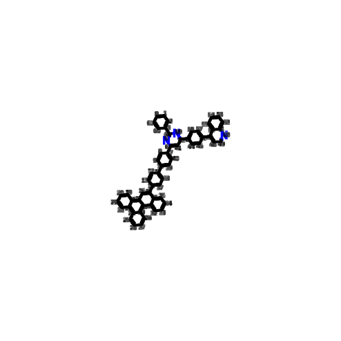 c1ccc(-c2nc(-c3ccc(-c4ccc(-c5cc6c7ccccc7c7ccccc7c6c6ccccc56)cc4)cc3)cc(-c3ccc(-c4ccnc5ccccc45)cc3)n2)cc1